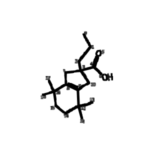 CCCC1(C(=O)O)CC2=C(C1)C(C)(C)CCC2(C)C